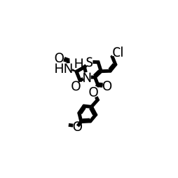 COc1ccc(COC(=O)C2=C(/C=C\CCl)CS[C@H]3[C@H](NC=O)C(=O)N23)cc1